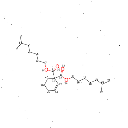 CC(C)CCCCCOC(=O)C1(C(=O)OCCCCCC(C)C)C=CCCC1